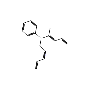 C=C/C=C\CN(/C(C)=C/C=C)c1ccccc1